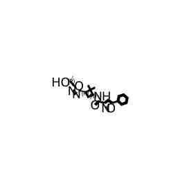 C[C@@H](O)c1nnc([C@@H]2C[C@@H](NC(=O)c3cc(-c4ccccc4)on3)C2(C)C)o1